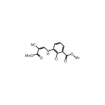 COC(=O)C(C#N)=CNc1cccc(C(=O)OC(C)C)c1Cl